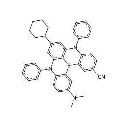 CN(C)c1ccc2c(c1)B1c3cc(C#N)ccc3N(c3ccccc3)c3cc(C4CCCCC4)cc(c31)N2c1ccccc1